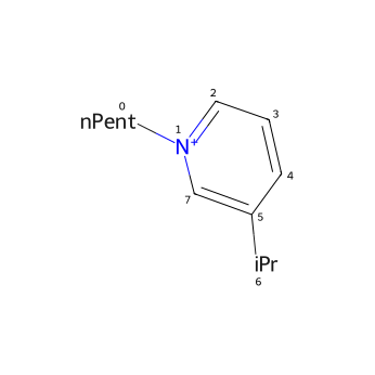 CCCCC[n+]1cccc(C(C)C)c1